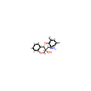 Cc1ccc(O[C@H]2c3ccccc3OC[C@@]2(O)CN)c(C)c1